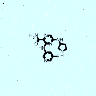 NC(=O)c1ncc(NC2CCNC2)nc1Nc1cncc(F)c1